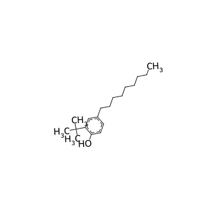 CCCCCCCCCc1ccc(O)c(C(C)(C)C)c1